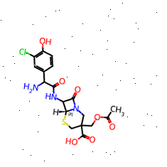 CC(=O)OCC1(C(=O)O)CS[C@@H]2C(NC(=O)C(N)c3ccc(O)c(Cl)c3)C(=O)N2C1